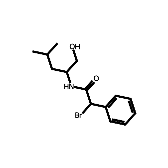 CC(C)CC(CO)NC(=O)C(Br)c1ccccc1